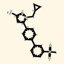 CS(=O)(=O)c1cccc(-c2ccc(-c3cc(C(F)(F)F)nn3CC3CC3)cc2)c1